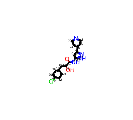 O=C(Nc1cc(-c2ccncc2)n[nH]1)C(O)Cc1ccc(Cl)cc1